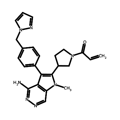 C=CC(=O)N1CCC(c2c(-c3ccc(Cn4cccn4)cc3)c3c(N)nncc3n2C)C1